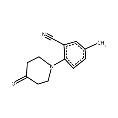 Cc1ccc(N2CCC(=O)CC2)c(C#N)c1